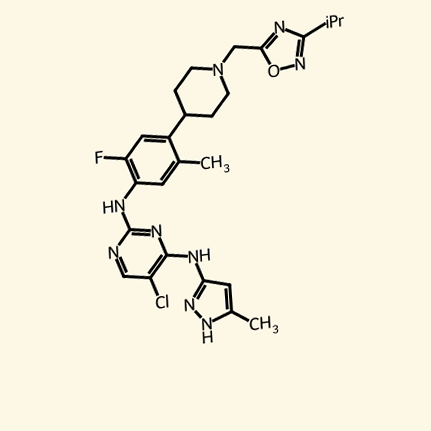 Cc1cc(Nc2nc(Nc3cc(C)c(C4CCN(Cc5nc(C(C)C)no5)CC4)cc3F)ncc2Cl)n[nH]1